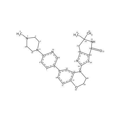 CN1CCN(c2ccc(-c3ccc4c(c3)N(c3nc5c(s3)C(=O)NC(C)(C)C5)CCO4)cn2)CC1